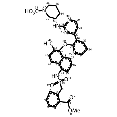 COC(=O)c1ccccc1CS(=O)(=O)Nc1cccc2c(Oc3ncccc3-c3ccnc(N[C@H]4CCCN(C(=O)O)C4)n3)c(C)ccc12